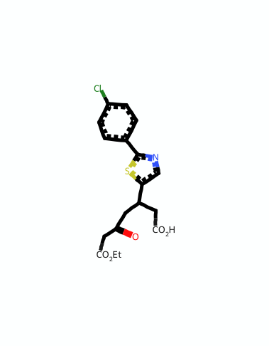 CCOC(=O)CC(=O)CC(CC(=O)O)c1cnc(-c2ccc(Cl)cc2)s1